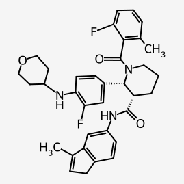 CC1=CCc2ccc(NC(=O)[C@H]3CCCN(C(=O)c4c(C)cccc4F)[C@H]3c3ccc(NC4CCOCC4)c(F)c3)cc21